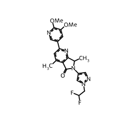 COc1cc(-c2cc(C)c3c(n2)C(C)N(c2cnn(CC(F)F)c2)C3=O)cnc1OC